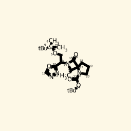 CC1N(C(CO[Si](C)(C)C(C)(C)C)c2nnco2)C(=O)C12CCCN2C(=O)OC(C)(C)C